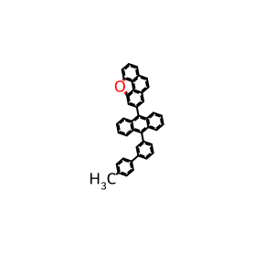 Cc1ccc(-c2cccc(-c3c4ccccc4c(-c4cc5ccc6cccc7oc(c4)c5c67)c4ccccc34)c2)cc1